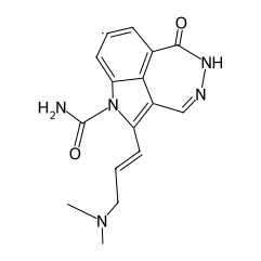 CN(C)CC=Cc1c2c3c(c[c]cc3n1C(N)=O)C(=O)NN=C2